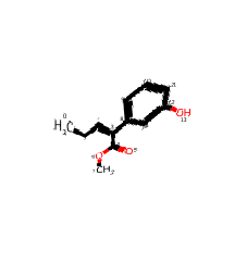 CCC=C(C(=O)OC)c1cccc(O)c1